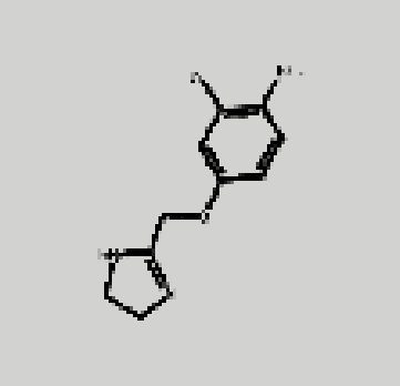 Bc1ccc(OCC2=NCCN2)cc1Cl